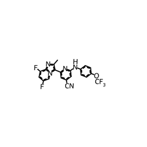 Cc1nc2c(F)cc(F)cn2c1-c1cc(C#N)cc(Nc2ccc(OC(F)(F)F)cc2)n1